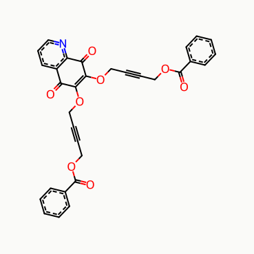 O=C(OCC#CCOC1=C(OCC#CCOC(=O)c2ccccc2)C(=O)c2ncccc2C1=O)c1ccccc1